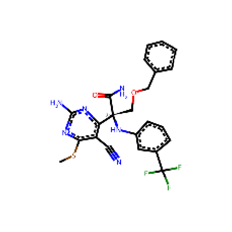 CSc1nc(N)nc([C@@](COCc2ccccc2)(Nc2cccc(C(F)(F)F)c2)C(N)=O)c1C#N